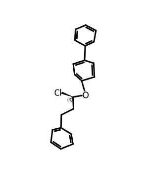 Cl[C@H](CCc1ccccc1)Oc1ccc(-c2ccccc2)cc1